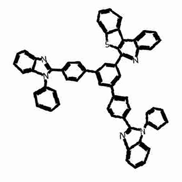 c1ccc(-n2c(-c3ccc(-c4cc(-c5ccc(-c6nc7ccccc7n6-c6ccccc6)cc5)cc(-c5nc6ccccc6c6c5sc5ccccc56)c4)cc3)nc3ccccc32)cc1